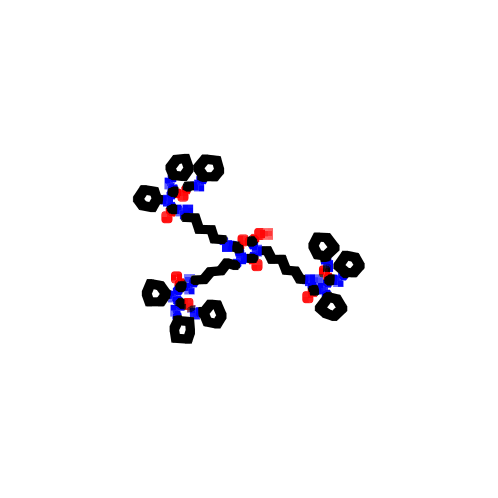 O=C1N(CCCCCCNC(=O)N(/C(=N/C2CCCCC2)ON=C2CCCCC2)C2CCCCC2)/C(=N/CCCCCCNC(=O)N(/C(=N/C2CCCCC2)OCN=C2CCCCC2)C2CCCCC2)OC(O)N1CCCCCCNC(=O)N(/C(=N/C1CCCCC1)ON=C1CCCCC1)C1CCCCC1